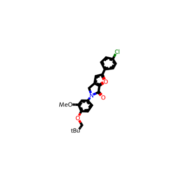 COc1cc(N2Cc3cc(-c4ccc(Cl)cc4)oc3C2=O)ccc1OCC(C)(C)C